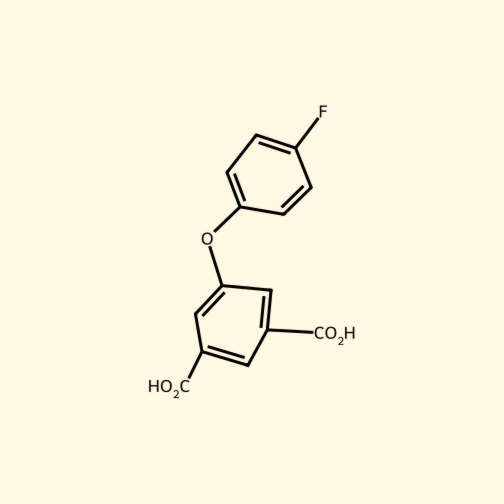 O=C(O)c1cc(Oc2ccc(F)cc2)cc(C(=O)O)c1